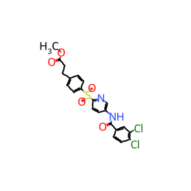 COC(=O)CCc1ccc(S(=O)(=O)c2ccc(NC(=O)c3ccc(Cl)c(Cl)c3)cn2)cc1